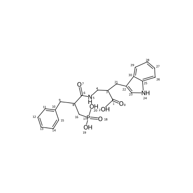 O=C(O)C(CNC(=O)C(Cc1ccccc1)CP(=O)(O)O)Cc1c[nH]c2ccccc12